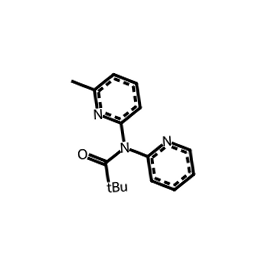 Cc1cccc(N(C(=O)C(C)(C)C)c2ccccn2)n1